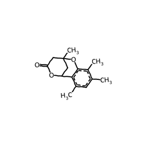 Cc1cc(C)c2c(c1C)OC1(C)CC(=O)OC2C1